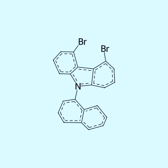 Brc1cccc2c1c1c(Br)cccc1n2-c1cccc2ccccc12